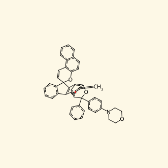 C=C1/C=C\C=C/CC2=C(C3=C1OC(c1ccccc1)(c1ccc(N4CCOCC4)cc1)C=C3)C1(C=Cc3c(ccc4ccccc34)O1)c1ccccc12